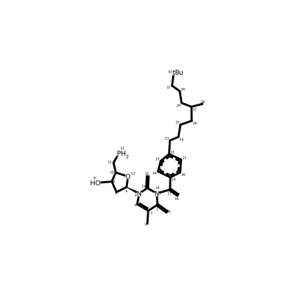 C=C1C(C)=CN([C@H]2CC(O)C(CP)O2)C(=C)N1C(=C)c1ccc(CCCCC(C)CCCC(C)(C)C)cc1